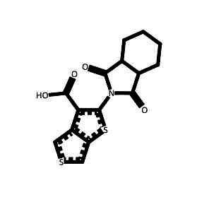 O=C(O)c1c(N2C(=O)C3CCCCC3C2=O)sc2cscc12